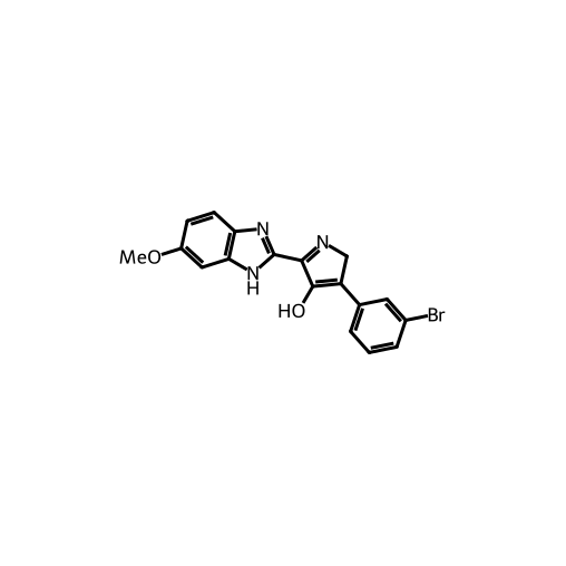 COc1ccc2nc(C3=NCC(c4cccc(Br)c4)=C3O)[nH]c2c1